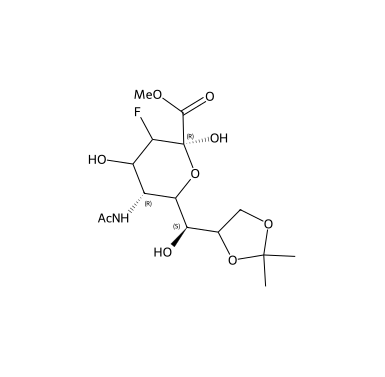 COC(=O)[C@@]1(O)OC([C@H](O)C2COC(C)(C)O2)[C@H](NC(C)=O)C(O)C1F